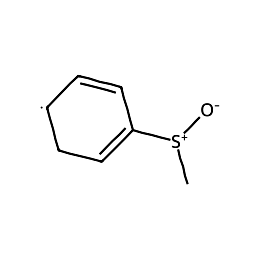 C[S+]([O-])C1=CC[CH]C=C1